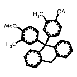 COc1ccc(C2(c3ccc(OC(C)=O)c(C)c3)c3ccccc3Cc3ccccc32)cc1C